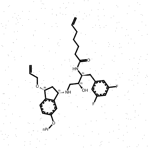 C=CCCCCC(=O)N[C@@H](Cc1cc(F)cc(F)c1)[C@@H](O)CN[C@H]1C[C@@H](OCC=C)c2ccc(OCCC)cc21